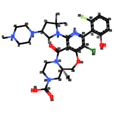 CN1CCN(C2CN(c3nc(-c4c(O)cccc4F)c(Cl)c4c3C(=O)N3CCN(C(=O)O)C[C@@H]3CO4)C(C)(C)C2)CC1